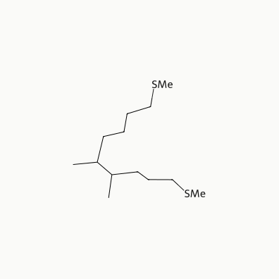 CSCCCCC(C)C(C)CCCSC